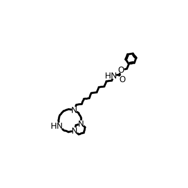 O=C(NCCCCCCCCCCN1CCCCNCCN2CCCN(CC1)C2)OCc1ccccc1